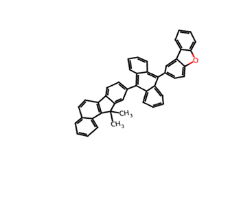 CC1(C)c2cc(-c3c4ccccc4c(-c4ccc5oc6ccccc6c5c4)c4ccccc34)ccc2-c2ccc3ccccc3c21